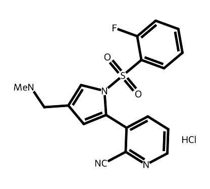 CNCc1cc(-c2cccnc2C#N)n(S(=O)(=O)c2ccccc2F)c1.Cl